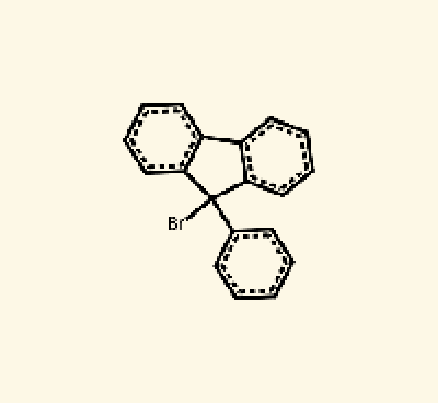 BrC1(c2ccccc2)c2ccccc2-c2ccccc21